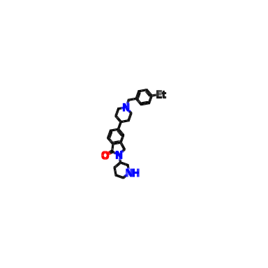 CCc1ccc(CN2CCC(c3ccc4c(c3)CN(C3CCCNC3)C4=O)CC2)cc1